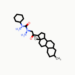 CC1CCC2C(CCC3C2CCC2(C)C(C(=O)CN(N)C(=O)N(N)C4CCCCC4)CCC32)C1